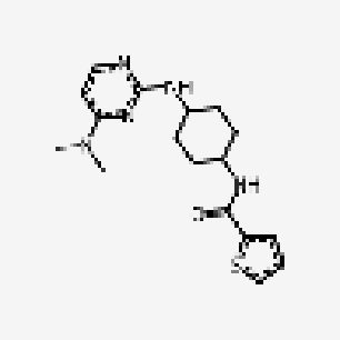 CN(C)c1ccnc(NC2CCC(NC(=O)c3cccs3)CC2)n1